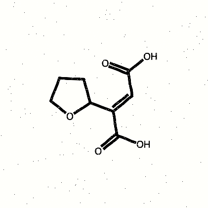 O=C(O)/C=C(/C(=O)O)C1CCCO1